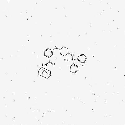 CC(C)(C)[Si](OC1CCC(Oc2cccc(C(=O)NC34CC5CC(CC(C5)C3)C4)c2)CC1)(c1ccccc1)c1ccccc1